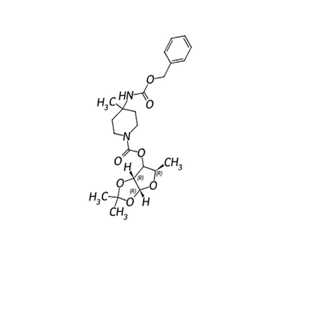 C[C@H]1O[C@@H]2OC(C)(C)O[C@@H]2C1OC(=O)N1CCC(C)(NC(=O)OCc2ccccc2)CC1